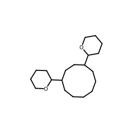 C1CCCC(C2CCCCO2)CC[C](C2CCCCO2)CC1